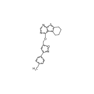 Cc1ccc(-c2cc(COc3ncnc4sc5c(c34)CCCC5)on2)cc1